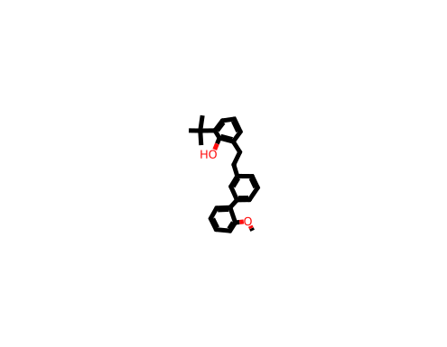 COc1ccccc1-c1cccc(CCc2cccc(C(C)(C)C)c2O)c1